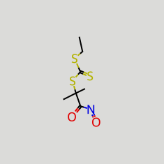 CCSC(=S)SC(C)(C)C(=O)N=O